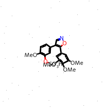 COc1ccc(-c2cnoc2-c2cc(OC)c(OC)c(OC)c2)cc1OS(=O)(=O)O